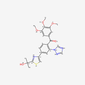 COc1cc(C(=O)c2ccc(-c3csc(C(C)(C)O)n3)cc2-n2cncn2)cc(OC)c1OC